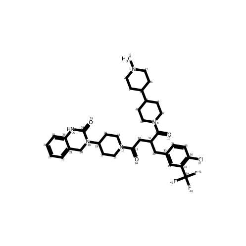 CN1CCC(C2CCN(C(=O)C(CC(=O)N3CCC(N4Cc5ccccc5NC4=O)CC3)Cc3ccc(Cl)c(C(F)(F)F)c3)CC2)CC1